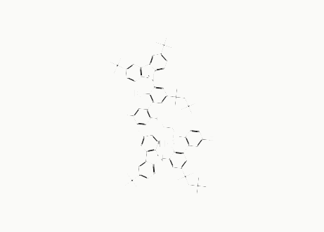 Cc1ccc2c(c1)c1cc(C(C)(C)C)ccc1n2-c1cc(C(C)(C)CC(C)(C)C)cc(-c2cc(F)ccc2OCCOc2ccc(F)cc2-c2cc(C(C)(C)CC(C)(C)C)cc(-n3c4ccc(C(C)(C)C)cc4c4cc(C(C)(C)C)ccc43)c2O)c1O